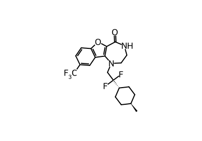 C[C@H]1CC[C@H](C(F)(F)CN2CCNC(=O)c3oc4ccc(C(F)(F)F)cc4c32)CC1